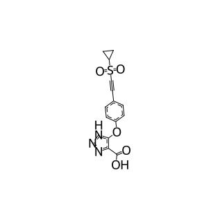 O=C(O)c1nn[nH]c1Oc1ccc(C#CS(=O)(=O)C2CC2)cc1